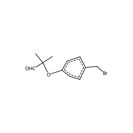 CC(C)(C=O)Oc1ccc(CBr)cc1